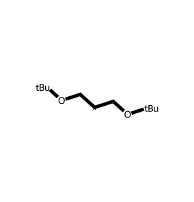 CC(C)(C)OC[C]COC(C)(C)C